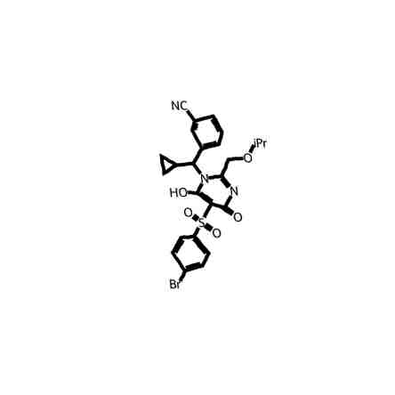 CC(C)OCc1nc(=O)c(S(=O)(=O)c2ccc(Br)cc2)c(O)n1C(c1cccc(C#N)c1)C1CC1